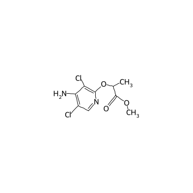 COC(=O)C(C)Oc1ncc(Cl)c(N)c1Cl